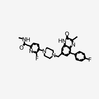 CNC(=O)c1ccc(N2CCN(Cc3cc(-c4ccc(F)cc4)c4nc(C)c(=O)[nH]c4c3)CC2)c(F)n1